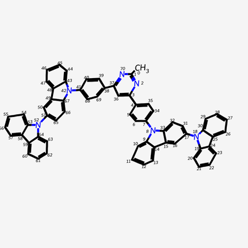 Cc1nc(-c2ccc(-n3c4ccccc4c4cc(-n5c6ccccc6c6ccccc65)ccc43)cc2)cc(-c2ccc(-n3c4ccccc4c4cc(-n5c6ccccc6c6ccccc65)ccc43)cc2)n1